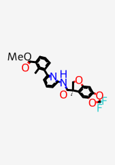 COC(=O)c1cccc(-c2cccc(NC(=O)[C@@]3(C)COc4cc5c(cc43)OC(F)(F)O5)n2)c1C